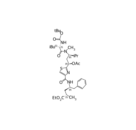 CCOC(=O)[C@@H](C)C[C@H](Cc1ccccc1)NC(=O)c1csc([C@@H](C[C@H](C(C)C)N(C)C(=O)[C@@H](NC(=O)OC(C)(C)C)[C@@H](C)CC)OC(C)=O)n1